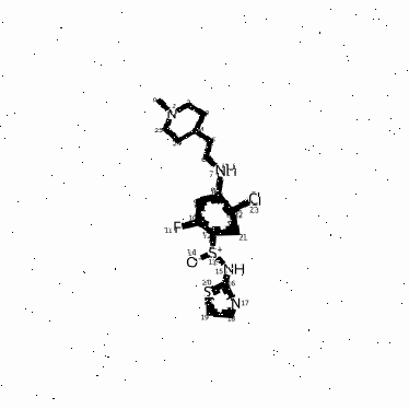 CN1CCC(CCNc2cc(F)c([S+]([O-])Nc3nccs3)cc2Cl)CC1